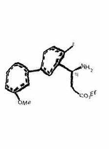 CCOC(=O)C[C@H](N)c1cc(-c2cccc(OC)c2)ccc1F